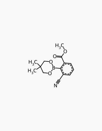 COC(=O)c1cccc(C#N)c1B1OCC(C)(C)CO1